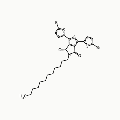 CCCCCCCCCCCCN1C(=O)c2c(-c3ccc(Br)s3)sc(-c3ccc(Br)s3)c2C1=O